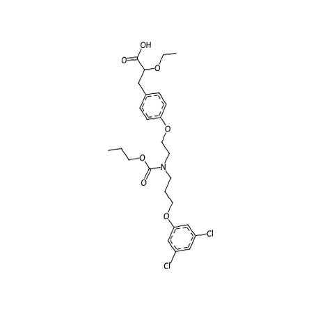 CCCOC(=O)N(CCCOc1cc(Cl)cc(Cl)c1)CCOc1ccc(CC(OCC)C(=O)O)cc1